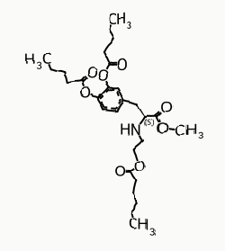 CCCCCC(=O)OCCN[C@@H](Cc1ccc(OC(=O)CCCC)c(OC(=O)CCCC)c1)C(=O)OC